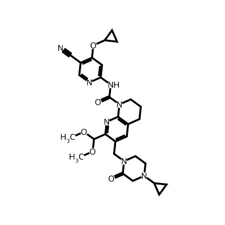 COC(OC)c1nc2c(cc1CN1CCN(C3CC3)CC1=O)CCCN2C(=O)Nc1cc(OC2CC2)c(C#N)cn1